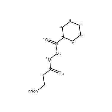 CCCCCCCCCCCC(=O)OOC(=O)C1CCCCC1